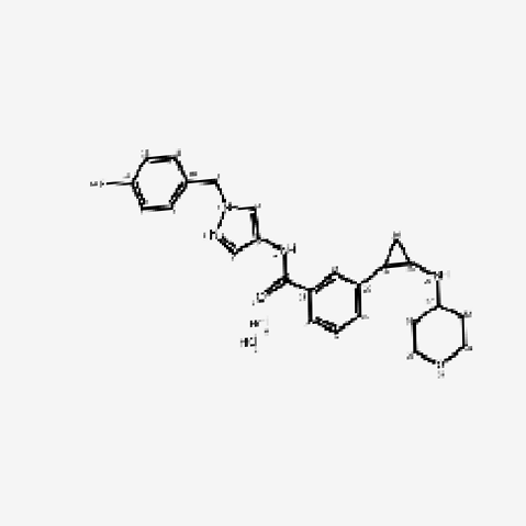 Cl.Cl.O=C(Nc1cnn(Cc2ccc(F)cc2)c1)c1cccc(C2CC2NC2CCOCC2)c1